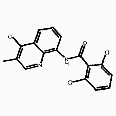 Cc1cnc2c(NC(=O)c3c(Cl)cccc3Cl)cccc2c1Cl